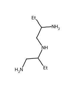 CCC(N)CNC(CC)CN